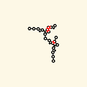 CC1(C)c2ccccc2-c2ccc(-c3ccc(N(c4ccc5c(c4)C(C)(C)c4cc(-c6ccc(-c7ccccc7)cc6)ccc4-5)c4ccc(-c5cccc(-c6ccc7c(c6)C(C)(C)c6cc(N(c8ccc9c(c8)C(C)(C)c8cc(-c%10ccc(-c%11ccccc%11)cc%10)ccc8-9)c8ccccc8-c8cccc(-c9ccccc9)c8)ccc6-7)c5)cc4-c4cccc(-c5ccccc5)c4)cc3)cc21